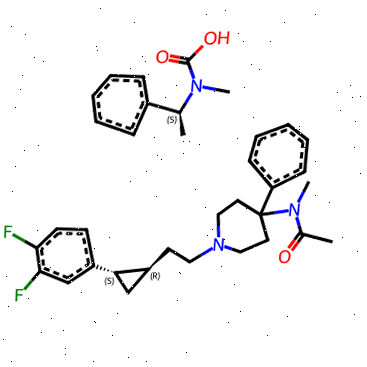 CC(=O)N(C)C1(c2ccccc2)CCN(CC[C@H]2C[C@@H]2c2ccc(F)c(F)c2)CC1.C[C@@H](c1ccccc1)N(C)C(=O)O